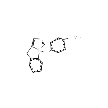 COc1ccc(O[N+]23C=NC=C2Cc2ccccc23)cc1